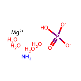 N.O.O.O.O.O=P([O-])([O-])O.[Mg+2]